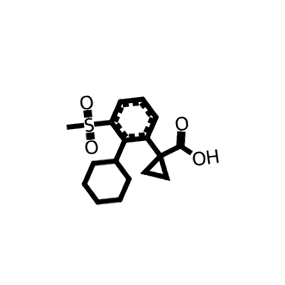 CS(=O)(=O)c1cccc(C2(C(=O)O)CC2)c1C1CCCCC1